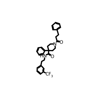 O=C(CCc1ccccc1)N1CCC(C(=O)NCCc2cccc(C(F)(F)F)c2)(c2ccccc2)CC1